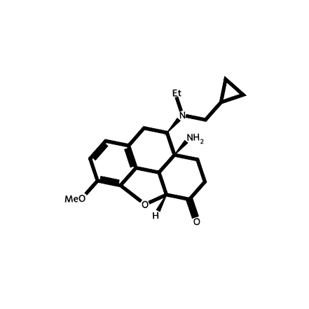 CCN(CC1CC1)[C@@H]1Cc2ccc(OC)c3c2C2[C@@H](O3)C(=O)CC[C@]21N